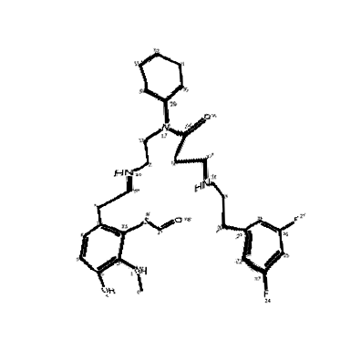 CNc1c(O)ccc(CCNCCN(C(=O)CCNCCc2cc(F)cc(F)c2)C2CCCCC2)c1SC=O